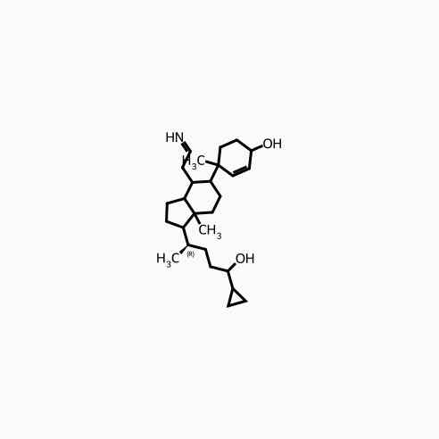 C[C@H](CCC(O)C1CC1)C1CCC2C(CC=N)C(C3(C)C=CC(O)CC3)CCC21C